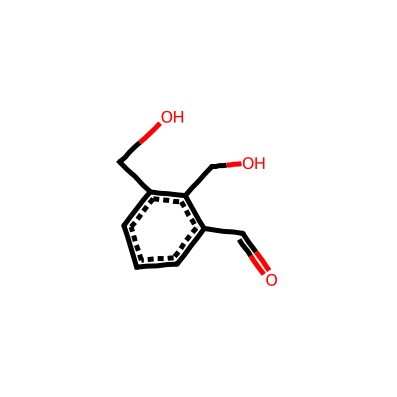 O=Cc1cccc(CO)c1CO